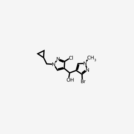 Cn1cc(C(O)c2cn(CC3CC3)nc2Cl)c(Br)n1